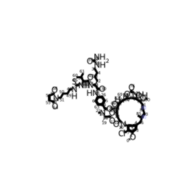 COc1cc2cc(c1Cl)N(C)C(=O)C[C@H](OC(=O)[C@H](C)N(C)C(=O)c1ccc(NC(=O)[C@H](CCCCNC(N)=O)NC(=O)[C@@H](NC(=S)NCCCCN3C(=O)C=CC3=O)C(C)C)cc1)[C@]1(C)O[C@H]1[C@H](C)[C@@H]1C[C@@](O)(NC(=O)O1)[C@H](OC)/C=C/C=C(\C)C2